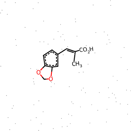 CC(=Cc1ccc2c(c1)OCO2)C(=O)O